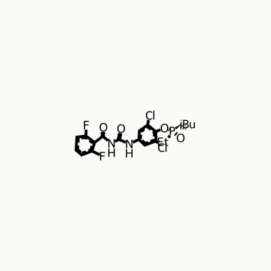 CC[C@H](C)P(=O)(CC)Oc1c(Cl)cc(NC(=O)NC(=O)c2c(F)cccc2F)cc1Cl